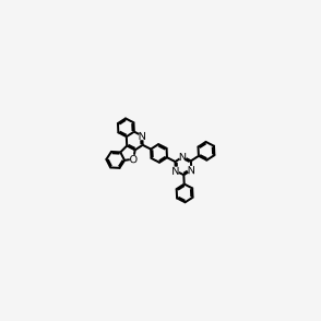 c1ccc(-c2nc(-c3ccccc3)nc(-c3ccc(-c4nc5ccccc5c5c4oc4ccccc45)cc3)n2)cc1